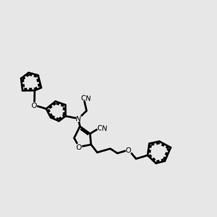 N#CCN(C1=C(C#N)C(CCCOCc2ccccc2)OC1)c1ccc(Oc2ccccc2)cc1